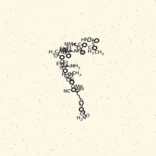 CC(NC(C)(C)C)C(=O)c1cccc(Cl)c1.CCN(CC)C(=O)[C@]1(c2ccccc2)C[C@@H]1CN.CCN(CC)C(=O)[C@]1(c2ccccc2)C[C@@H]1CN.CNCCOC(c1ccccc1)c1ccccc1C.COc1ccc(C(CN(C)C)C2(O)CCCCC2)cc1.Cc1ccc(Sc2ccccc2N2CCNCC2)c(C)c1.N#Cc1ccc2[nH]cc(CCCCN3CCN(c4ccc5oc(C(N)=O)cc5c4)CC3)c2c1